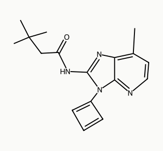 Cc1ccnc2c1nc(NC(=O)CC(C)(C)C)n2C1=CC=C1